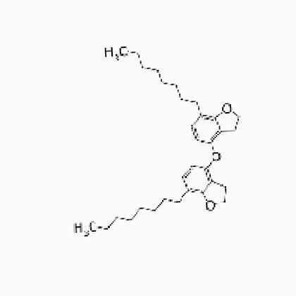 CCCCCCCCc1ccc(Oc2ccc(CCCCCCCC)c3c2CCO3)c2c1OCC2